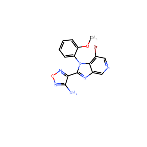 COc1ccccc1-n1c(-c2nonc2N)nc2cncc(Br)c21